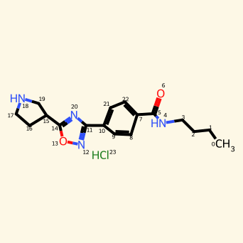 CCCCNC(=O)c1ccc(-c2noc(C3CCNC3)n2)cc1.Cl